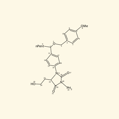 CCCCCC(OCc1ccc(OC)cc1)c1ccc(N2C(=O)N(P)C(=O)C2CCO)cc1